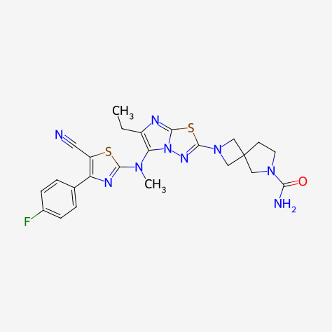 CCc1nc2sc(N3CC4(CCN(C(N)=O)C4)C3)nn2c1N(C)c1nc(-c2ccc(F)cc2)c(C#N)s1